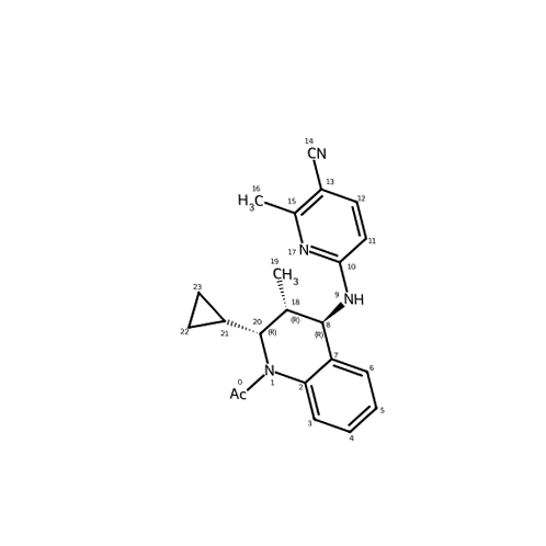 CC(=O)N1c2ccccc2[C@H](Nc2ccc(C#N)c(C)n2)[C@@H](C)[C@H]1C1CC1